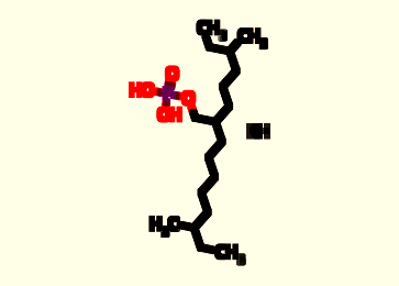 CCC(C)CCCCCC(CCCC(C)CC)COP(=O)(O)O.[KH]